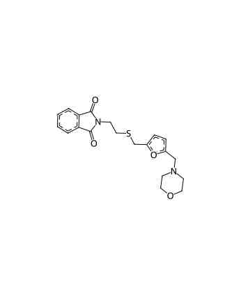 O=C1c2ccccc2C(=O)N1CCSCc1ccc(CN2CCOCC2)o1